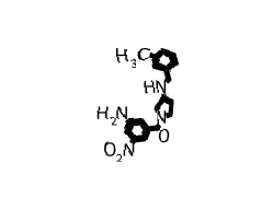 Cc1cccc(CN[C@@H]2CCN(C(=O)c3cc(N)cc([N+](=O)[O-])c3)C2)c1